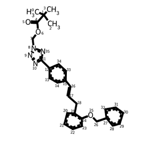 CC(C)(C)C(=O)OCn1nnc(-c2ccc(C=CCc3ccccc3OCc3ccccc3)cc2)n1